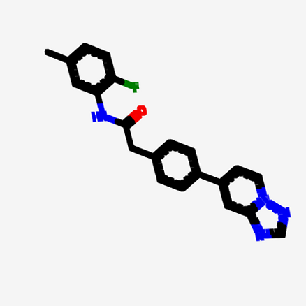 Cc1ccc(F)c(NC(=O)Cc2ccc(-c3ccn4ncnc4c3)cc2)c1